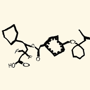 CC(C)C1(Oc2ccc(C(=O)OC(C3CCCCC3)C(F)(F)C(=O)O)cc2)CCCCC1